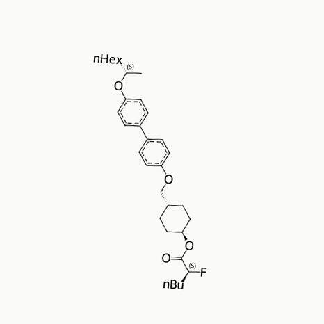 CCCCCC[C@H](C)Oc1ccc(-c2ccc(OC[C@H]3CC[C@H](OC(=O)[C@@H](F)CCCC)CC3)cc2)cc1